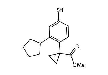 COC(=O)C1(c2ccc(S)cc2C2CCCC2)CC1